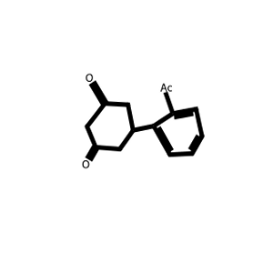 CC(=O)c1ccccc1C1CC(=O)CC(=O)C1